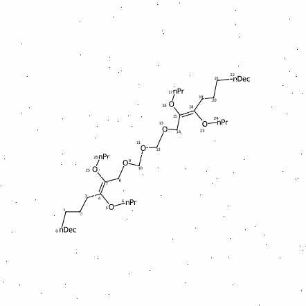 CCCCCCCCCCCCCC(OCCC)=C(COCOCOCC(OCCC)=C(CCCCCCCCCCCCC)OCCC)OCCC